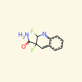 NC(=O)C1(F)C=c2ccccc2=NC1F